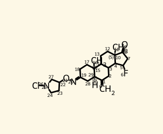 C=C1CC2C3C(F)CC(=O)[C@@]3(C)CCC2[C@@]2(C)CCC(=NOC3CCN(Cl)C3)C[C@H]12